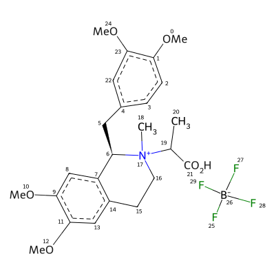 COc1ccc(C[C@@H]2c3cc(OC)c(OC)cc3CC[N+]2(C)C(C)C(=O)O)cc1OC.F[B-](F)(F)F